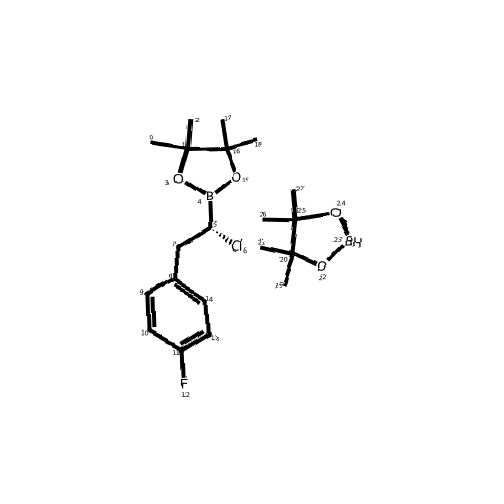 CC1(C)OB([C@H](Cl)Cc2ccc(F)cc2)OC1(C)C.CC1(C)OBOC1(C)C